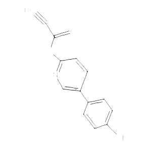 C#CC(=O)Oc1ccc(-c2ccc(Cl)cc2)cn1